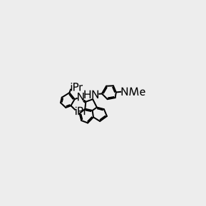 CNc1ccc(NC2/C(=N/c3c(C(C)C)cccc3C(C)C)c3cccc4cccc2c34)cc1